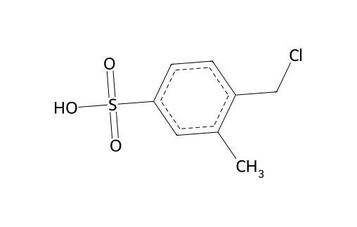 Cc1cc(S(=O)(=O)O)ccc1CCl